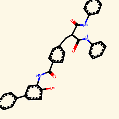 O=C(Nc1cc(-c2ccccc2)ccc1O)c1ccc(CC(C(=O)Nc2ccccc2)C(=O)Nc2ccccc2)cc1